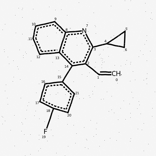 [CH]=Cc1c(C2CC2)nc2ccccc2c1-c1ccc(F)cc1